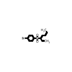 C=C/C(=C\C=C/C)S(=O)(=O)c1ccc(Br)cc1